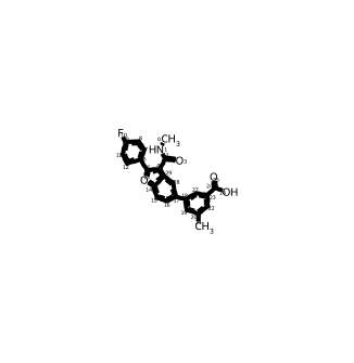 CNC(=O)c1c(-c2ccc(F)cc2)oc2ccc(-c3cc(C)cc(C(=O)O)c3)cc12